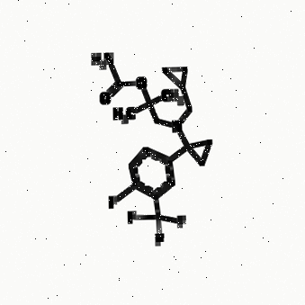 CC(C)(CN(CC1CC1)C1(c2ccc(F)c(C(F)(F)F)c2)CC1)OC(N)=O